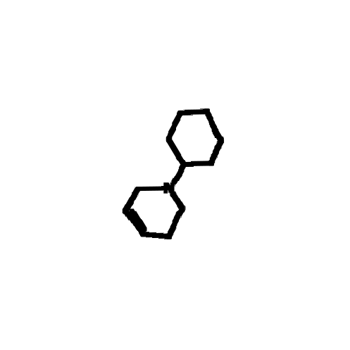 C1=CCN(C2CCCCC2)CC1